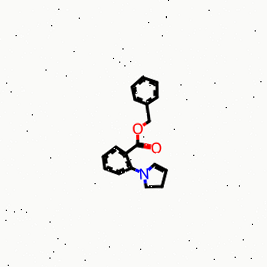 O=C(OCc1ccccc1)c1ccccc1N1C=CCC1